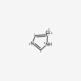 [C+]1=CN=CN1.[Cl-]